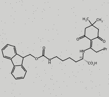 CC(C)CC(N[C@@H](CCCCNC(=O)OCC1c2ccccc2-c2ccccc21)C(=O)O)=C1C(=O)CC(C)(C)CC1=O